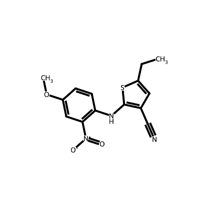 CCc1cc(C#N)c(Nc2ccc(OC)cc2[N+](=O)[O-])s1